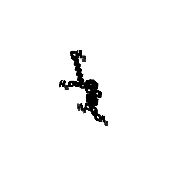 CCCCCCCCCCCC(CCC)Oc1ccccc1OC(=O)c1ccc(C(C)OCC)cc1